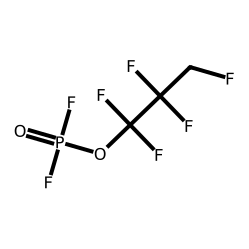 O=P(F)(F)OC(F)(F)C(F)(F)CF